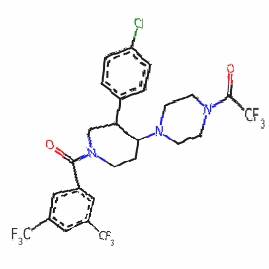 O=C(c1cc(C(F)(F)F)cc(C(F)(F)F)c1)N1CCC(N2CCN(C(=O)C(F)(F)F)CC2)C(c2ccc(Cl)cc2)C1